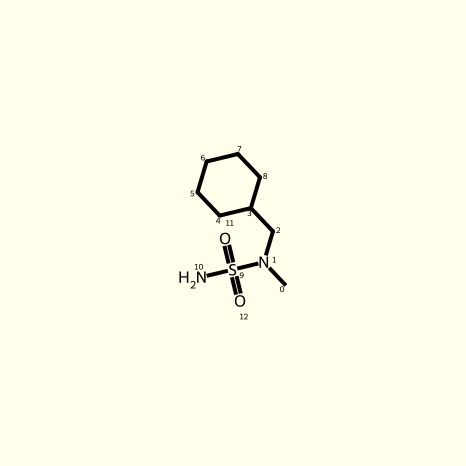 CN(CC1CCCCC1)S(N)(=O)=O